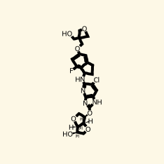 OCC1(COc2cc(F)c3c(c2)CCC3Nc2nc3nc(O[C@@H]4CO[C@H]5[C@@H]4OC[C@H]5O)[nH]c3cc2Cl)COC1